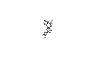 Cn1cc(S(=O)(=O)Nc2nc(Cl)c(C#N)c(Cl)n2)cn1